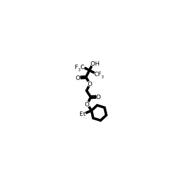 CCC1(OC(=O)COC(=O)C(O)(C(F)(F)F)C(F)(F)F)CCCCC1